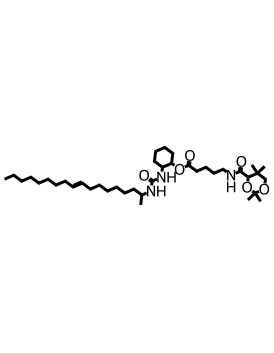 CCCCCCCCC=CCCCCCCC(C)NC(=O)NC1CCCCC1OC(=O)CCCCNC(=O)C1OC(C)(C)OCC1(C)C